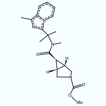 Cc1nc(C(C)(C)N(C)C(=O)[C@H]2[C@@H]3CN(C(=O)OC(C)(C)C)C[C@@H]32)n2ccccc12